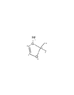 CC1(C)OC=CO1.F